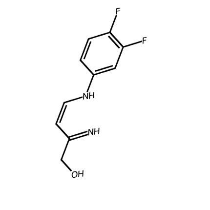 N=C(/C=C\Nc1ccc(F)c(F)c1)CO